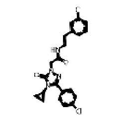 O=C(Cn1nc(-c2ccc(Cl)cc2)n(C2CC2)c1=O)NCCc1cccc(Cl)c1